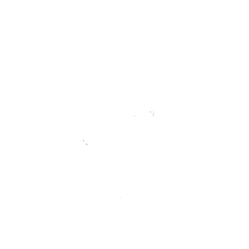 CCCCN(C(=S)[S-])c1ccccc1.CCCCN(C(=S)[S-])c1ccccc1.[Cu+2]